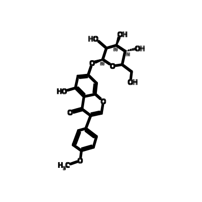 COc1ccc(-c2coc3cc(O[C@@H]4OC(CO)[C@@H](O)[C@H](O)C4O)cc(O)c3c2=O)cc1